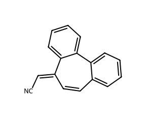 N#CC=C1C=Cc2ccccc2-c2ccccc21